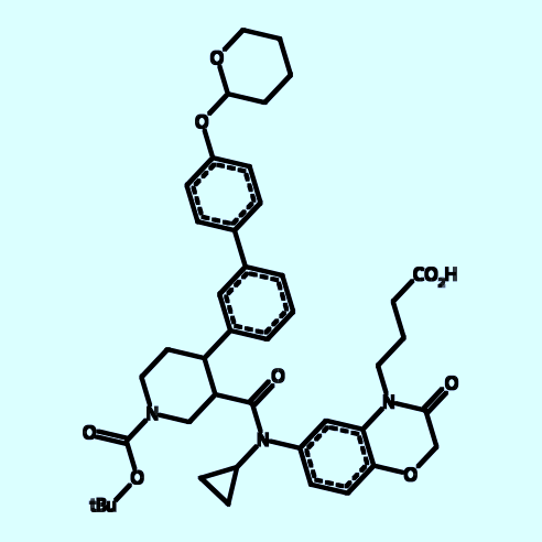 CC(C)(C)OC(=O)N1CCC(c2cccc(-c3ccc(OC4CCCCO4)cc3)c2)C(C(=O)N(c2ccc3c(c2)N(CCCC(=O)O)C(=O)CO3)C2CC2)C1